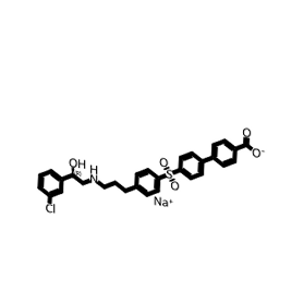 O=C([O-])c1ccc(-c2ccc(S(=O)(=O)c3ccc(CCCNC[C@H](O)c4cccc(Cl)c4)cc3)cc2)cc1.[Na+]